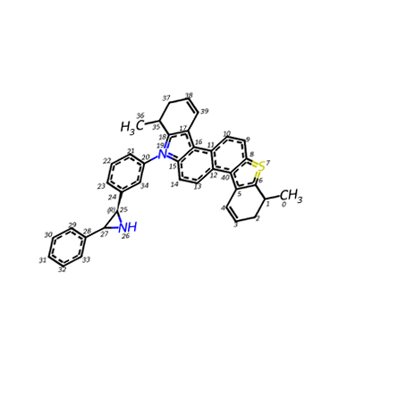 CC1CC=Cc2c1sc1ccc3c(ccc4c3c3c(n4-c4cccc([C@H]5NC5c5ccccc5)c4)C(C)CC=C3)c21